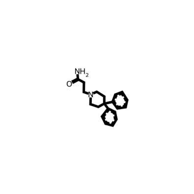 NC(=O)CCN1CCC(c2ccccc2)(c2ccccc2)CC1